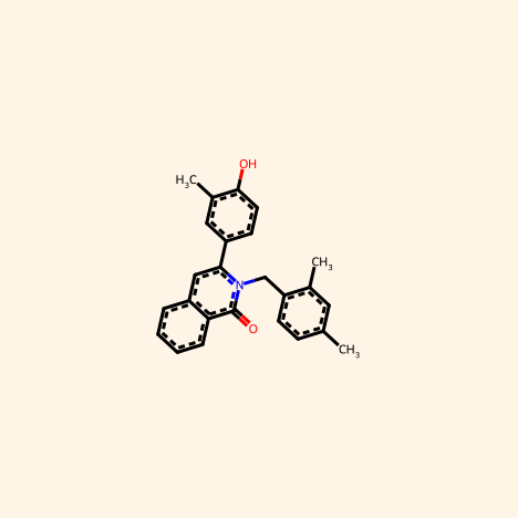 Cc1ccc(Cn2c(-c3ccc(O)c(C)c3)cc3ccccc3c2=O)c(C)c1